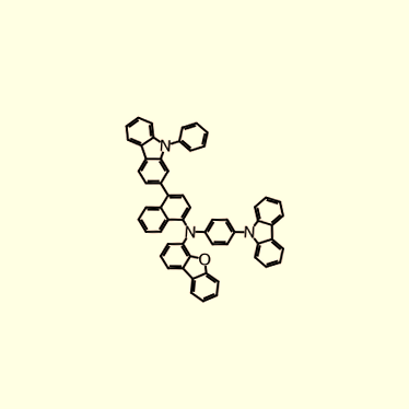 c1ccc(-n2c3ccccc3c3ccc(-c4ccc(N(c5ccc(-n6c7ccccc7c7ccccc76)cc5)c5cccc6c5oc5ccccc56)c5ccccc45)cc32)cc1